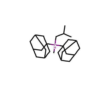 CC(C)C[PH](C)(C12CC3CC(CC(C3)C1)C2)C12CC3CC(CC(C3)C1)C2